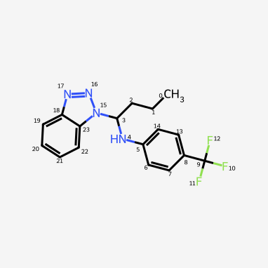 CCCC(Nc1ccc(C(F)(F)F)cc1)n1nnc2ccccc21